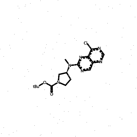 CN(c1ncc2ncnc(Cl)c2n1)[C@H]1CCN(C(=O)OC(C)(C)C)C1